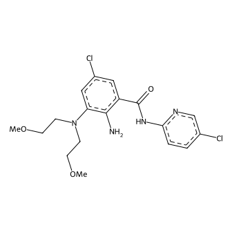 COCCN(CCOC)c1cc(Cl)cc(C(=O)Nc2ccc(Cl)cn2)c1N